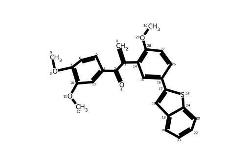 C=C(C(=O)c1ccc(OC)c(OC)c1)c1cc(-c2cc3ccccc3s2)ccc1OC